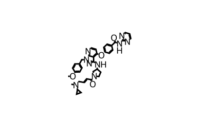 COc1ccc(Cn2nc(NC3CCN(C(=O)/C=C/CN(C)C4CC4)C3)c3c(Oc4ccc(C(=O)Nc5ncccn5)cc4)ccnc32)cc1